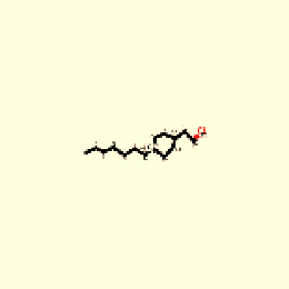 CCCCCCC[SiH]1CCC(CC=O)CC1